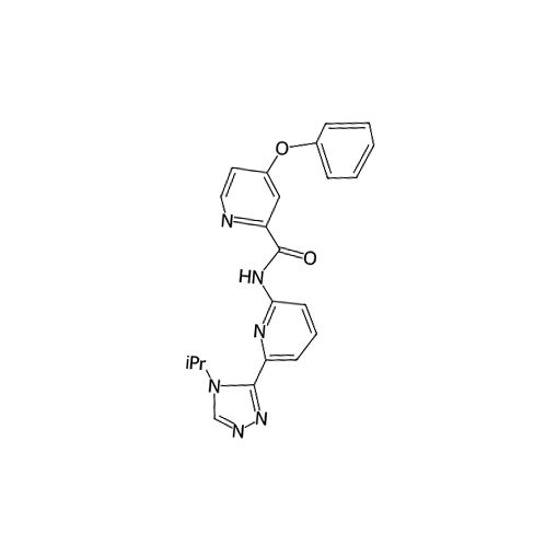 CC(C)n1cnnc1-c1cccc(NC(=O)c2cc(Oc3ccccc3)ccn2)n1